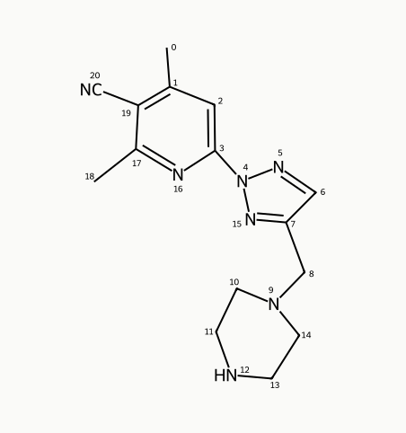 Cc1cc(-n2ncc(CN3CCNCC3)n2)nc(C)c1C#N